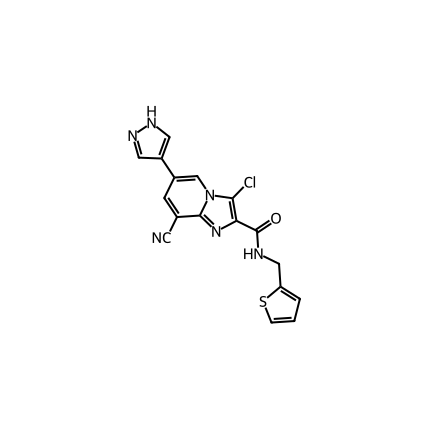 N#Cc1cc(-c2cn[nH]c2)cn2c(Cl)c(C(=O)NCc3cccs3)nc12